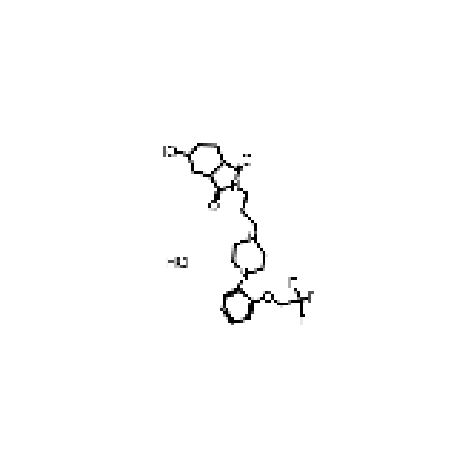 Cl.O=C1C2CCC(O)CC2C(=O)N1CCCN1CCN(c2ccccc2OCC(F)(F)F)CC1